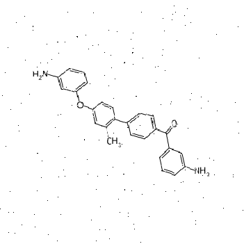 Cc1cc(Oc2cccc(N)c2)ccc1-c1ccc(C(=O)c2cccc(N)c2)cc1